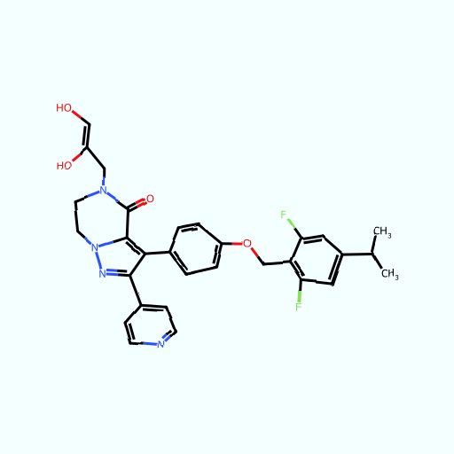 CC(C)c1cc(F)c(COc2ccc(-c3c(-c4ccncc4)nn4c3C(=O)N(C/C(O)=C/O)CC4)cc2)c(F)c1